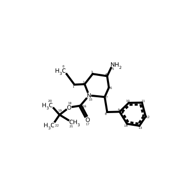 CCC1CC(N)CC(Cc2ccccc2)N1C(=O)OC(C)(C)C